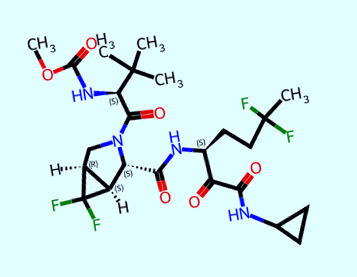 COC(=O)N[C@H](C(=O)N1C[C@H]2[C@@H]([C@H]1C(=O)N[C@@H](CCC(C)(F)F)C(=O)C(=O)NC1CC1)C2(F)F)C(C)(C)C